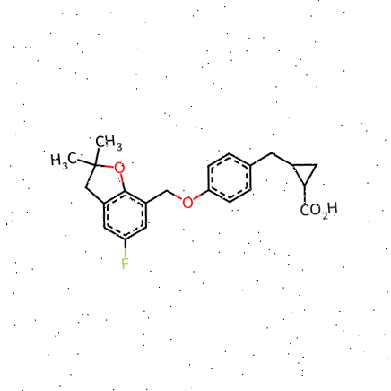 CC1(C)Cc2cc(F)cc(COc3ccc(CC4CC4C(=O)O)cc3)c2O1